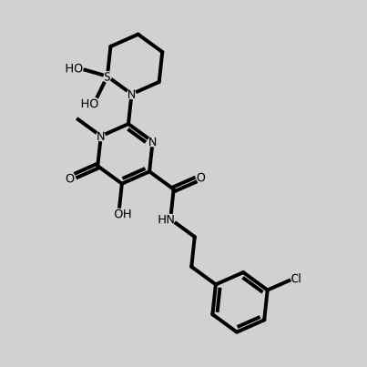 Cn1c(N2CCCCS2(O)O)nc(C(=O)NCCc2cccc(Cl)c2)c(O)c1=O